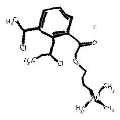 CC(Cl)c1cccc(C(=O)OCC[N+](C)(C)C)c1C(C)Cl.[I-]